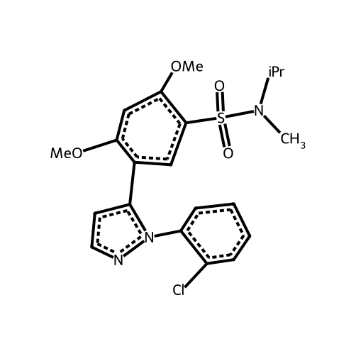 COc1cc(OC)c(S(=O)(=O)N(C)C(C)C)cc1-c1ccnn1-c1ccccc1Cl